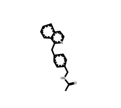 CC(=O)NCc1ccc(Cc2nccc3ccccc23)cc1